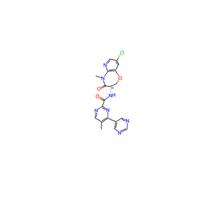 Cc1cnc(C(=O)N[C@H]2COc3cc(Cl)cnc3N(C)C2=O)nc1-c1cncnc1